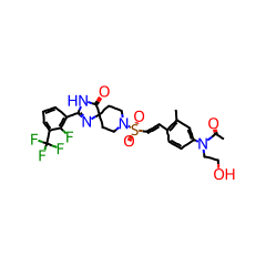 CC(=O)N(CCO)c1ccc(/C=C/S(=O)(=O)N2CCC3(CC2)N=C(c2cccc(C(F)(F)F)c2F)NC3=O)c(C)c1